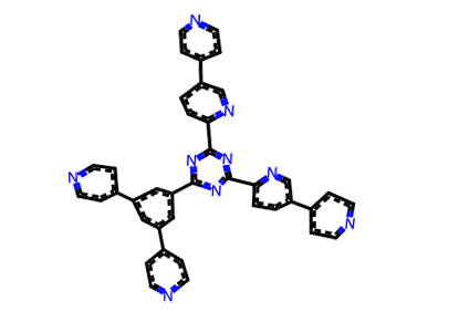 c1cc(-c2ccc(-c3nc(-c4cc(-c5ccncc5)cc(-c5ccncc5)c4)nc(-c4ccc(-c5ccncc5)cn4)n3)nc2)ccn1